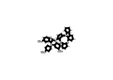 CC(C)(C)c1ccc(N2c3cc(C(C)(C)C)cc4c3B(c3sc5ccc(C(C)(C)C)cc5c32)c2ccc3cc2n-4c2ccccc2sc2cccc4c5ccccc5n3c24)cc1